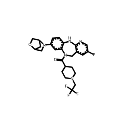 O=C(C1CCN(CC(F)(F)F)CC1)N1Cc2cc(F)cnc2Nc2ccc(N3CC4CC3CO4)cc21